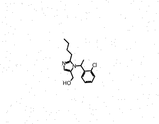 CCCCc1ncc(CO)n1C(C)c1ccccc1Cl